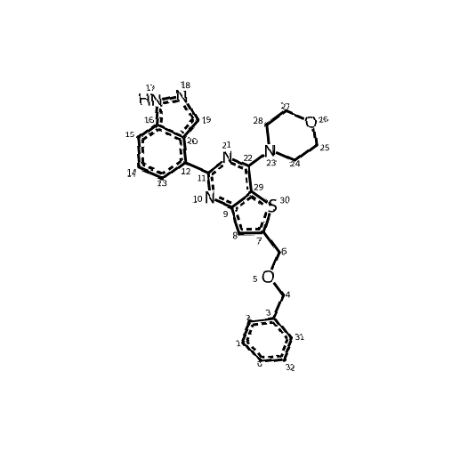 c1ccc(COCc2cc3nc(-c4cccc5[nH]ncc45)nc(N4CCOCC4)c3s2)cc1